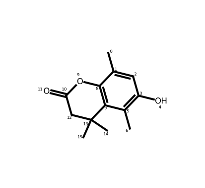 Cc1cc(O)c(C)c2c1OC(=O)CC2(C)C